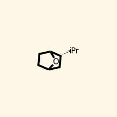 CC(C)[C@@H]1CC2CCC1O2